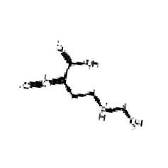 O=C=C(CCPCO)C(=O)O